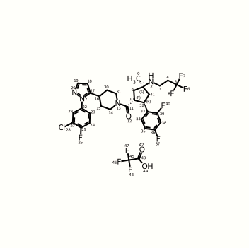 C[C@@]1(NCCC(F)(F)F)C[C@@H](C(=O)N2CCC(c3ccnn3-c3ccc(F)c(Cl)c3)CC2)[C@H](c2ccc(F)cc2F)C1.O=C(O)C(F)(F)F